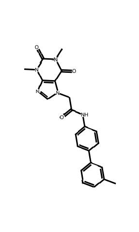 Cc1cccc(-c2ccc(NC(=O)Cn3cnc4c3c(=O)n(C)c(=O)n4C)cc2)c1